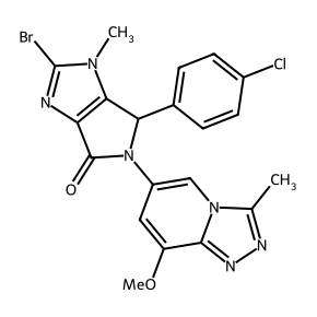 COc1cc(N2C(=O)c3nc(Br)n(C)c3C2c2ccc(Cl)cc2)cn2c(C)nnc12